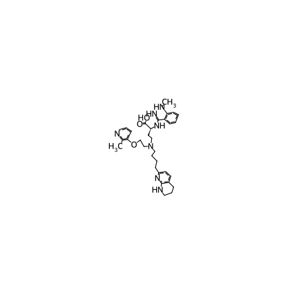 CNc1ccccc1C(=N)N[C@@H](CCN(CCCCc1ccc2c(n1)NCCC2)CCOc1cccnc1C)C(=O)O